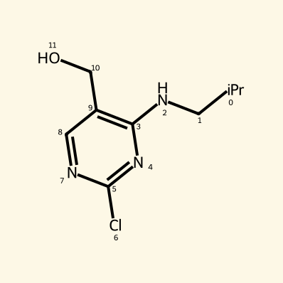 CC(C)CNc1nc(Cl)ncc1CO